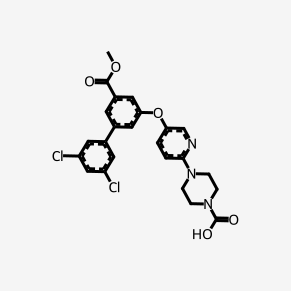 COC(=O)c1cc(Oc2ccc(N3CCN(C(=O)O)CC3)nc2)cc(-c2cc(Cl)cc(Cl)c2)c1